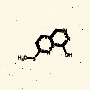 CSc1ccc2cnnc(O)c2n1